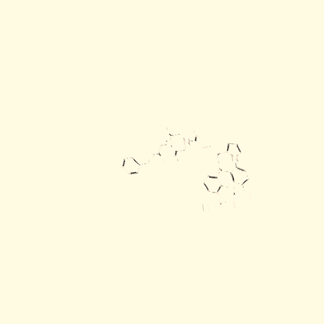 COc1cccc([C@H]2O[C@H](CCC(=O)N3CC(=O)N(CC(=O)OCc4ccccc4)C(=O)C3)c3cccn3-c3ccc(Cl)cc32)c1OC